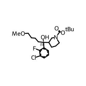 COCCCC[C@@](O)(c1cccc(Cl)c1F)C1CCCN(C(=O)OC(C)(C)C)C1